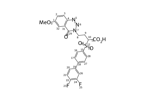 COc1ccc2nnn(CCC(C(=O)O)S(=O)(=O)c3ccc(-c4ccc(F)c(F)c4)cc3)c(=O)c2c1